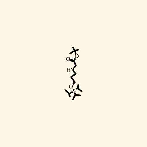 CC(C)[Si](OCCCNCC(=O)OC(C)(C)C)(C(C)C)C(C)C